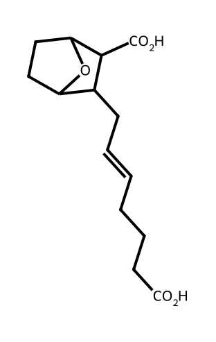 O=C(O)CCCC=CCC1C2CCC(O2)C1C(=O)O